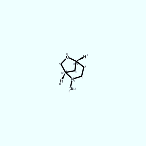 CC(C)(C)N1CC[C@@H]2C[C@H]1CO2